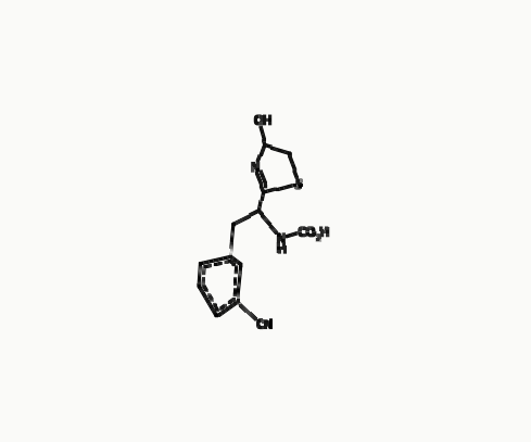 N#Cc1cccc(CC(NC(=O)O)C2=NC(O)CS2)c1